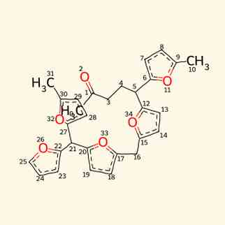 CC(=O)CCC(c1ccc(C)o1)c1ccc(Cc2ccc(C(c3ccco3)c3ccc(C)o3)o2)o1